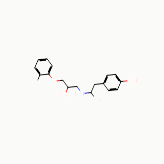 Cc1ccccc1OCC(O)CNC(C)Cc1ccc(O)cc1